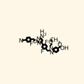 COCCn1c(Cc2cc(F)c(-c3cc(N)nc(OCc4ccc(C#N)cc4F)n3)cc2F)nc2ccc(C(=O)O)cc21